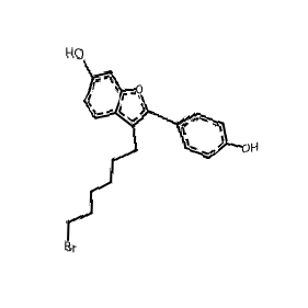 Oc1ccc(-c2oc3cc(O)ccc3c2CCCCCCBr)cc1